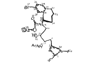 CC(=O)N[C@@H](Cc1cc(F)cc(F)c1)[C@H](O)CN(C(=O)OC(C)(C)C)C1CCCc2ccc(Br)cc21